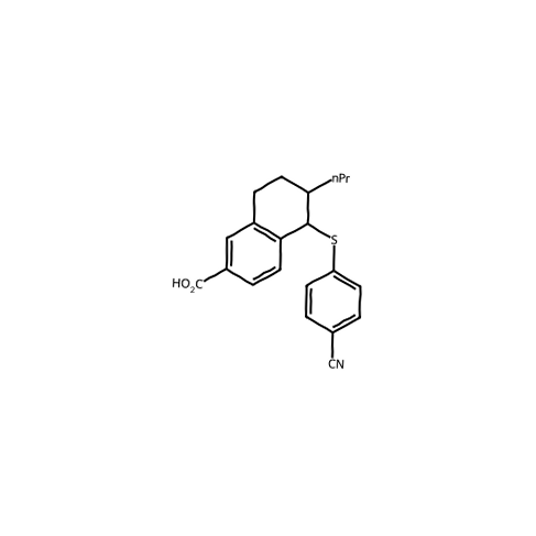 CCCC1CCc2cc(C(=O)O)ccc2C1Sc1ccc(C#N)cc1